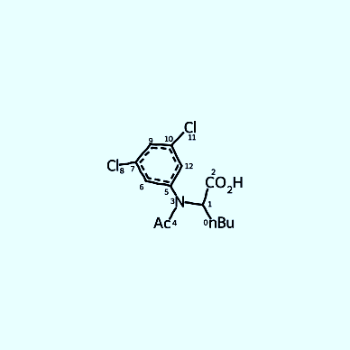 CCCCC(C(=O)O)N(C(C)=O)c1cc(Cl)cc(Cl)c1